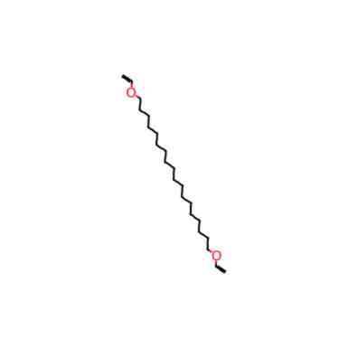 C=COCCCCCCCCCCCCCCCCCCOC=C